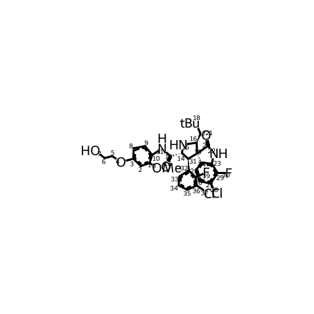 COc1cc(OCCO)ccc1NC(=O)[C@@H]1N[C@@H](CC(C)(C)C)[C@@]2(C(=O)Nc3c2ccc(Cl)c3F)[C@H]1c1cccc(Cl)c1F